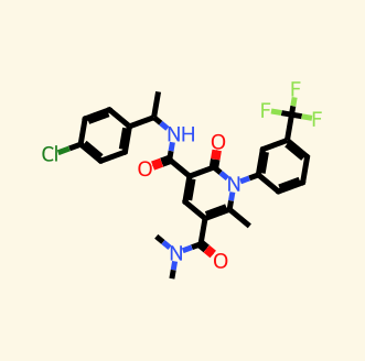 Cc1c(C(=O)N(C)C)cc(C(=O)NC(C)c2ccc(Cl)cc2)c(=O)n1-c1cccc(C(F)(F)F)c1